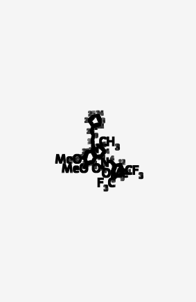 COC(=O)N(Cc1cc(C(F)(F)F)cc(C(F)(F)F)c1)[C@H]1C[C@@H](C)N(CCCc2ccccc2)c2cc(OC)c(OC)cc21